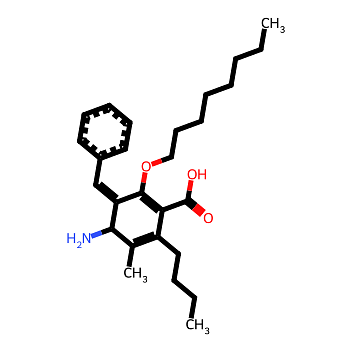 CCCCCCCCOC1=C(C(=O)O)C(CCCC)=C(C)C(N)C1=Cc1ccccc1